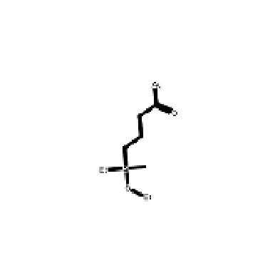 CCO[Si](C)(CC)CCCC(=O)C(C)=O